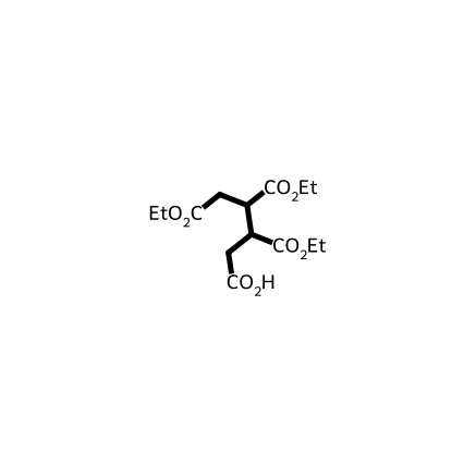 CCOC(=O)CC(C(=O)OCC)C(CC(=O)O)C(=O)OCC